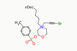 CCCCCCCCCCCCCC[N+]1(CC#CBr)CCOCC1.Cc1ccc(S(=O)(=O)[O-])cc1